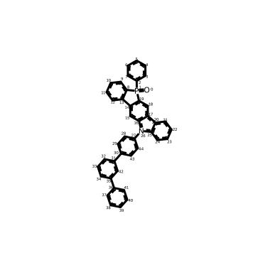 O=P1(c2ccccc2)c2ccccc2-c2cc3c(cc21)c1ccccc1n3-c1ccc(-c2cccc(-c3ccccc3)c2)cc1